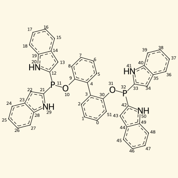 c1ccc(-c2ccccc2OP(c2cc3ccccc3[nH]2)c2cc3ccccc3[nH]2)c(OP(c2cc3ccccc3[nH]2)c2cc3ccccc3[nH]2)c1